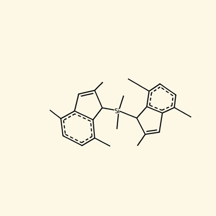 CC1=Cc2c(C)ccc(C)c2C1[Si](C)(C)C1C(C)=Cc2c(C)ccc(C)c21